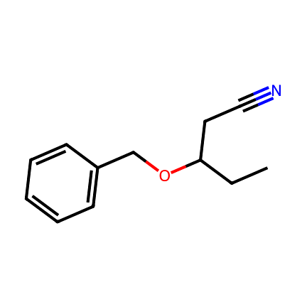 CCC(CC#N)OCc1ccccc1